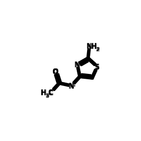 CC(=O)[N]c1csc(N)n1